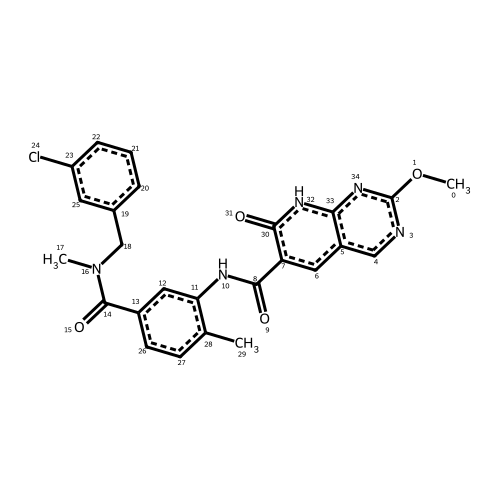 COc1ncc2cc(C(=O)Nc3cc(C(=O)N(C)Cc4cccc(Cl)c4)ccc3C)c(=O)[nH]c2n1